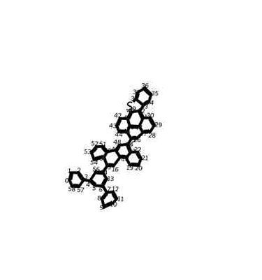 c1ccc(-c2cc(-c3ccccc3)cc(-c3cc4c5ccccc5c(-c5cc6cccc7c8c9ccccc9sc8c8cccc5c8c67)cc4c4ccccc34)c2)cc1